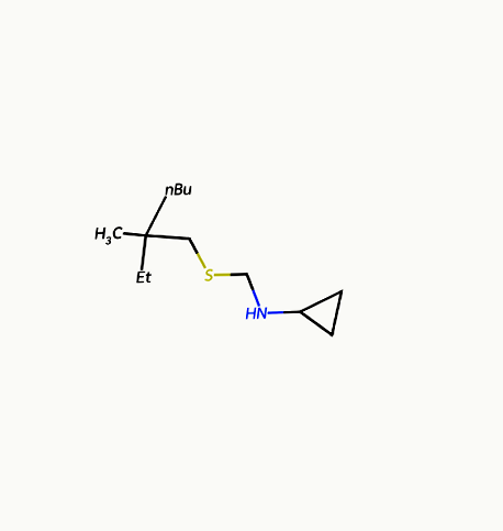 CCCCC(C)(CC)CSCNC1CC1